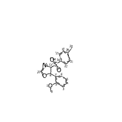 COc1ccccc1C1OC=NC1S(=O)(=O)c1ccc(C)cc1